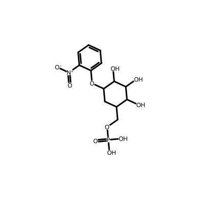 O=[N+]([O-])c1ccccc1OC1CC(COP(=O)(O)O)C(O)C(O)C1O